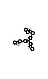 c1ccc2c(c1)ccc1c2oc2cccc(-c3ccc(N(c4ccc(-c5ccc6c(c5)oc5ccccc56)cc4)c4ccc5c(c4)sc4ccccc45)cc3)c21